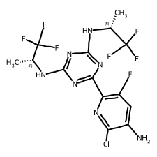 C[C@@H](Nc1nc(N[C@H](C)C(F)(F)F)nc(-c2nc(Cl)c(N)cc2F)n1)C(F)(F)F